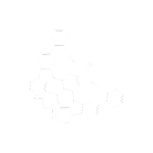 Cc1cc(-c2c(-n3c4ccccc4c4ccc(-c5ccccc5C#N)cc43)cc(C#N)cc2-n2c3ccccc3c3ccc(-c4ccccc4C#N)cc32)cc(C)n1